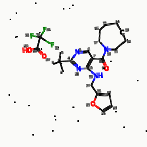 CC(C)(C)c1ncc(C(=O)N2CCCCCCC2)c(NCc2ccco2)n1.O=C(O)C(F)(F)F